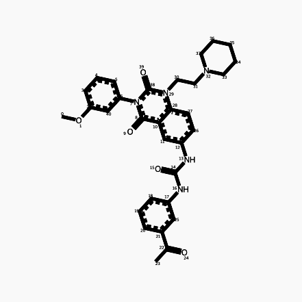 COc1cccc(-n2c(=O)c3cc(NC(=O)Nc4cccc(C(C)=O)c4)ccc3n(CCN3CCCCC3)c2=O)c1